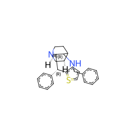 c1ccc(CN[C@@H]2C3CCN(CC3)[C@@H]2[C@@H](c2ccccc2)c2cccs2)cc1